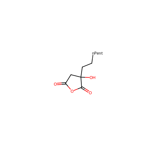 CCCCCCCC1(O)CC(=O)OC1=O